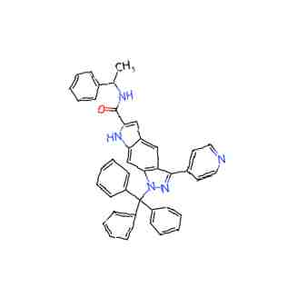 CC(NC(=O)c1cc2cc3c(-c4ccncc4)nn(C(c4ccccc4)(c4ccccc4)c4ccccc4)c3cc2[nH]1)c1ccccc1